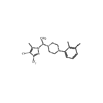 Cc1cccc(N2CCN(C(C=O)n3nc(C(F)(F)F)c(Cl)c3C)CC2)c1C